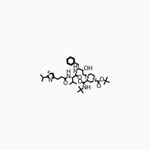 CC(C)c1nc(CCC(=O)N[C@H](C(=O)N[C@@H](Cc2ccccc2)[C@H](O)CN2CCN(C(=O)OC(C)(C)C)CC2C(=O)NC(C)(C)C)C(C)C)cs1